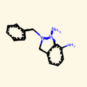 Nc1cccc2c1N(N)N(Cc1ccccc1)C2